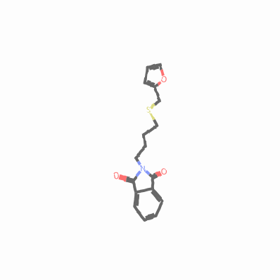 O=C1c2ccccc2C(=O)N1CCCCSCc1ccco1